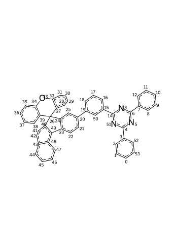 c1ccc(-c2nc(-c3ccccc3)nc(-c3cccc(-c4ccc5c(c4)C4(c6ccccc6Oc6ccccc64)c4ccc6ccccc6c4-5)c3)n2)cc1